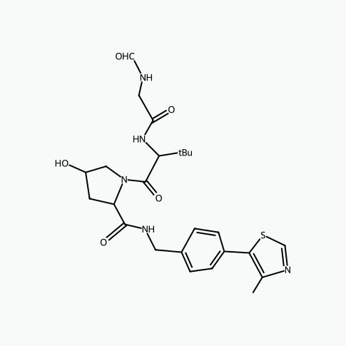 Cc1ncsc1-c1ccc(CNC(=O)C2CC(O)CN2C(=O)C(NC(=O)CNC=O)C(C)(C)C)cc1